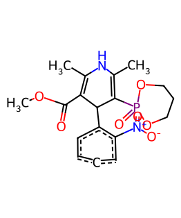 COC(=O)C1=C(C)NC(C)=C(P2(=O)OCCCO2)C1c1ccccc1[N+](=O)[O-]